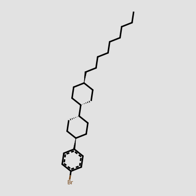 CCCCCCCCC[C@H]1CC[C@H]([C@H]2CC[C@H](c3ccc(Br)cc3)CC2)CC1